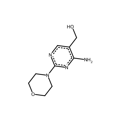 Nc1nc(N2CCOCC2)ncc1CO